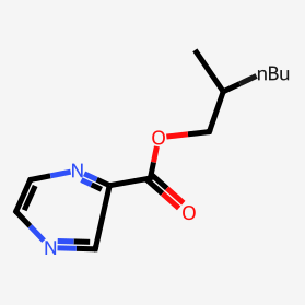 CCCCC(C)COC(=O)c1cnccn1